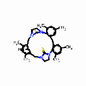 Cc1cc(C)c2c(c1)Cc1cc(C)cc(C)c1N1CCN(Cc3c(C)cc(C)c(c3C)CN3CCN2C3=S)C1=S